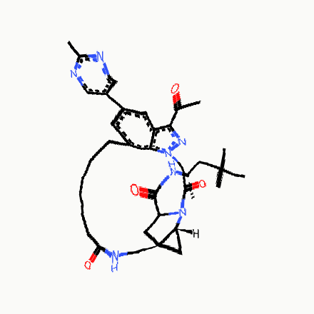 CC(=O)c1nn2c3c(cc(-c4cnc(C)nc4)cc13)CCCCCCC(=O)NC[C@@]13CC(C(=O)N[C@@H](C)CC(C)(C)C)N(C(=O)C2)[C@@H]1C3